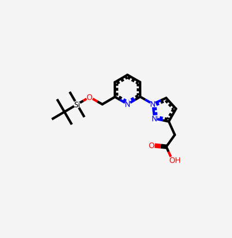 CC(C)(C)[Si](C)(C)OCc1cccc(-n2ccc(CC(=O)O)n2)n1